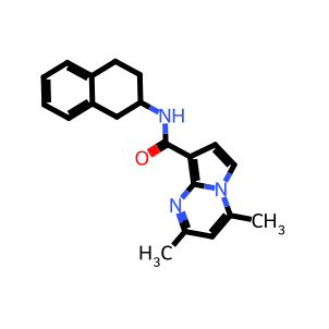 Cc1cc(C)n2ccc(C(=O)NC3CCc4ccccc4C3)c2n1